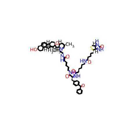 CC1=C2C[C@H]3[C@@H](CC=C4C[C@@H](O)CC[C@@]43C)[C@@H]2CC[C@]12O[C@@H]1C[C@H](C)CN(CCNC(=O)CCCCCNC(=O)[C@H](Cc3ccc(C(=O)c4ccccc4)cc3)NC(=O)CCCCCNC(=O)CCCC[C@@H]3SC[C@@H]4NC(=O)N[C@@H]43)[C@H]1[C@H]2C